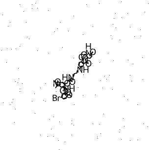 COc1ccc(Br)cc1S(=O)(=O)Nc1cc2c(C)noc2cc1OCC(=O)NCCCCNc1ccc2c(c1)C(=O)N(C1CCC(=O)NC1=O)C2=O